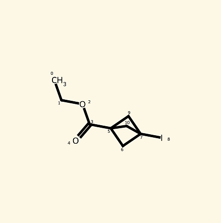 CCOC(=O)C12CC(I)(C1)C2